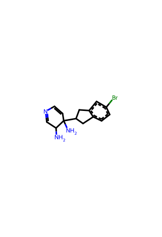 NC1C=NC=CC1(N)C1Cc2ccc(Br)cc2C1